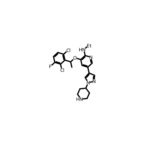 CCNc1ncc(-c2cnn(C3CCNCC3)c2)cc1OC(C)c1c(Cl)ccc(F)c1Cl